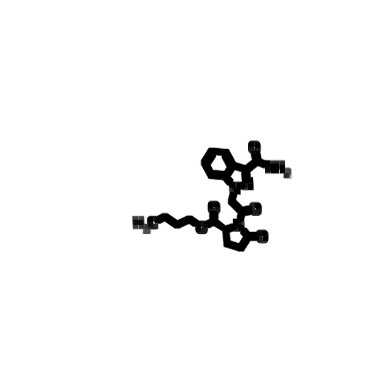 CCCCOC(=O)[C@@H]1CCC(=O)N1C(=O)Cn1nc(C(N)=O)c2ccccc21